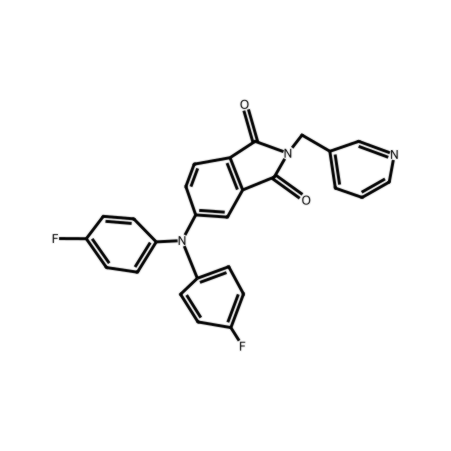 O=C1c2ccc(N(c3ccc(F)cc3)c3ccc(F)cc3)cc2C(=O)N1Cc1cccnc1